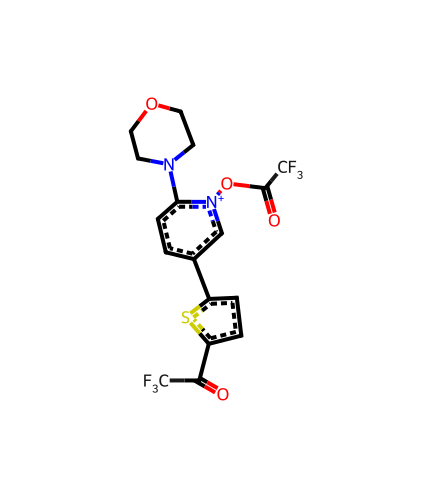 O=C(O[n+]1cc(-c2ccc(C(=O)C(F)(F)F)s2)ccc1N1CCOCC1)C(F)(F)F